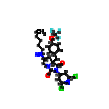 CCCCCN[C@@H]1CN2C(=O)N(c3cc(Cl)nc(Cl)c3)C(=O)[C@@]2(Cc2ccc(OC(F)(F)F)cc2)C1